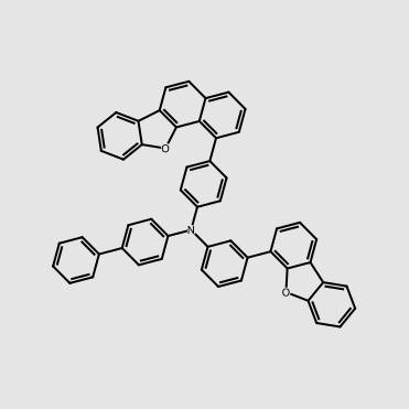 c1ccc(-c2ccc(N(c3ccc(-c4cccc5ccc6c7ccccc7oc6c45)cc3)c3cccc(-c4cccc5c4oc4ccccc45)c3)cc2)cc1